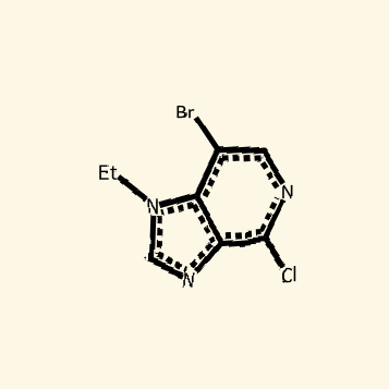 CCn1[c]nc2c(Cl)ncc(Br)c21